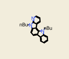 CCCCn1c2ccc3c4ccccc4n(CCCC)c3c2c2cccnc21